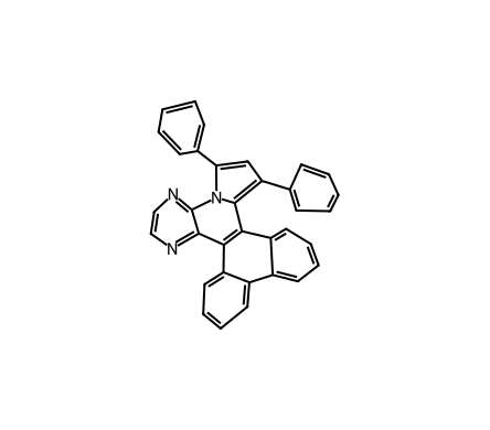 c1ccc(-c2cc(-c3ccccc3)n3c4nccnc4c4c5ccccc5c5ccccc5c4c23)cc1